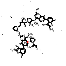 C=CC(=O)N1CC[C@@H](N(C)c2nc(OC[C@@H]3CCCN3CCC(=C)C(=O)N3CCC(N(C)c4nc(OCC)nc5c(F)c(-c6ccc(F)c7sc(N)c(C#N)c67)ccc45)C3C)nc3c(F)c(-c4ccc(F)c5sc(N)c(C#N)c45)c(Cl)cc23)[C@H]1C